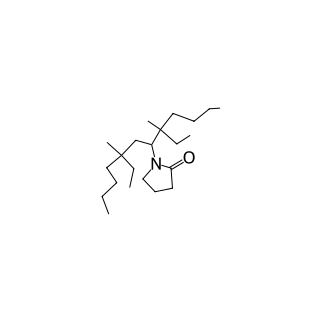 CCCCC(C)(CC)CC(N1CCCC1=O)C(C)(CC)CCCC